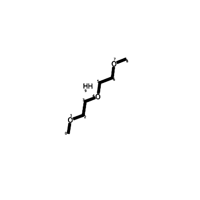 COCCOCCOC.[HH]